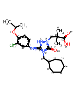 CC(C)Oc1ccc(/N=c2\[nH]n(CC(C)(C)C(=O)O)c(=O)n2CC2CCCCCC2)cc1Cl